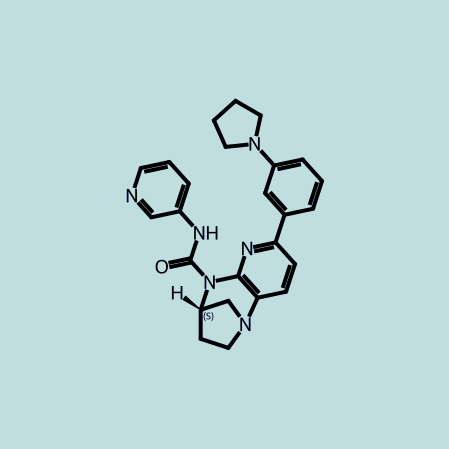 O=C(Nc1cccnc1)N1c2nc(-c3cccc(N4CCCC4)c3)ccc2N2CC[C@H]1C2